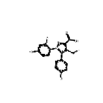 O=C(O)c1nn(-c2ccc(Cl)cc2Cl)c(-c2ccc(Cl)cc2)c1CBr